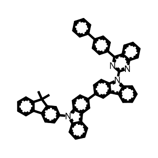 CC1(C)c2ccccc2-c2ccc(-n3c4ccccc4c4cc(-c5ccc6c(c5)c5ccccc5n6-c5nc(-c6ccc(-c7ccccc7)cc6)c6ccccc6n5)ccc43)cc21